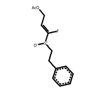 CC(=O)OC/C=C(\F)[S+]([O-])CCc1ccccc1